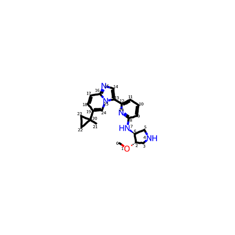 CO[C@H]1CNC[C@@H]1Nc1cccc(-c2cnc3ccc(C4(C)CC4)cn23)n1